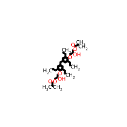 C=CCc1cc(Cc2cc(CC=C)c(OCC(O)COC(=O)C(=C)C)c(CC=C)c2)cc(CC=C)c1OCC(O)COC(=O)C(=C)C